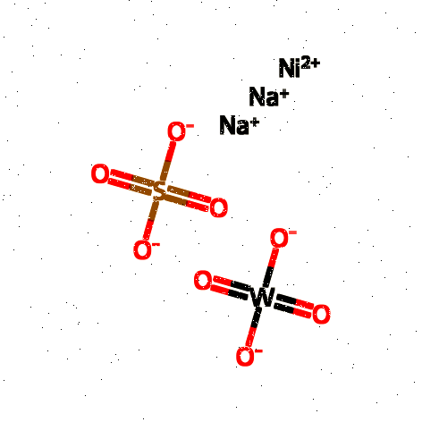 O=S(=O)([O-])[O-].[Na+].[Na+].[Ni+2].[O]=[W](=[O])([O-])[O-]